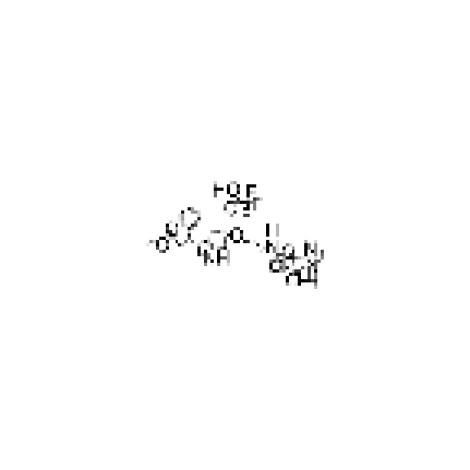 CCOC(=O)CC(c1ccccc1)c1c[nH]c2cc(OCCCNC(=O)OC(c3ncc[nH]3)C(Cl)(Cl)Cl)ccc12.O=C(O)C(F)(F)F